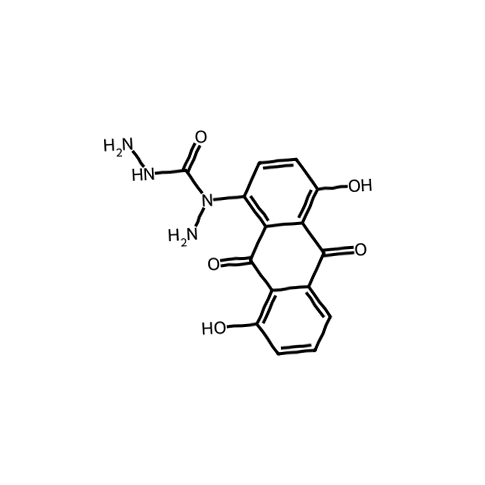 NNC(=O)N(N)c1ccc(O)c2c1C(=O)c1c(O)cccc1C2=O